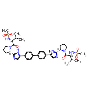 CC(C)[C@@H](NS(C)(=O)=O)C(=O)N1CCC[C@H]1c1ncc(-c2ccc(-c3ccc(-c4cnc([C@@H]5CCCN5C(=O)[C@H](NS(C)(=O)=O)C(C)C)[nH]4)cc3)cc2)[nH]1